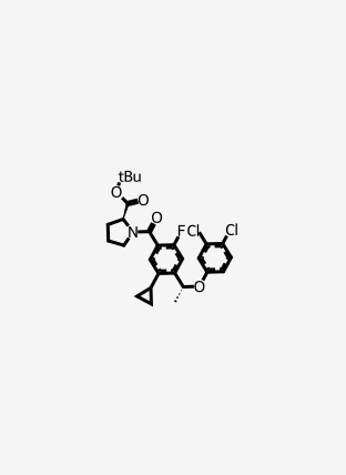 C[C@@H](Oc1ccc(Cl)c(Cl)c1)c1cc(F)c(C(=O)N2CCC[C@H]2C(=O)OC(C)(C)C)cc1C1CC1